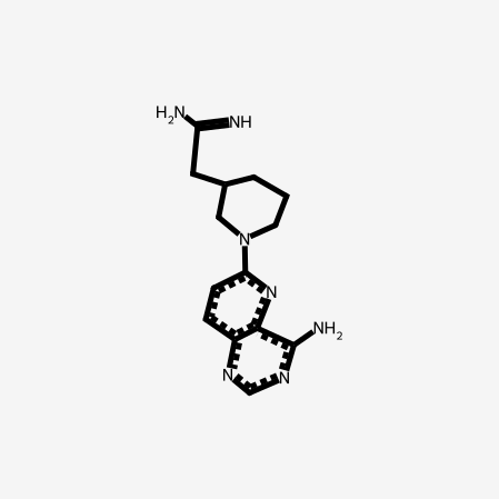 N=C(N)CC1CCCN(c2ccc3ncnc(N)c3n2)C1